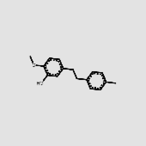 COc1ccc(CCc2ccc(C)cc2)cc1O